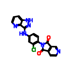 O=C1c2ccncc2C(=O)N1c1ccc(Nc2n[nH]c3cccnc23)cc1Cl